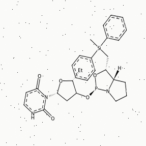 CC[C@H]1O[C@@H](n2c(=O)cc[nH]c2=O)CC1O[P@@]1O[C@H](C[Si](C)(c2ccccc2)c2ccccc2)[C@@H]2CCCN21